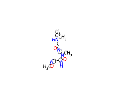 CCN(c1cc(-c2ccnc(OC)c2)c[nH]c1=O)C1CCN(C(=O)/C=C/CNC(C)C)CC1